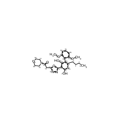 CCCCc1nc(O)c(-c2nnc(CC(=O)N3CCOCC3)o2)c(O)c1-c1c(OC)cccc1OC